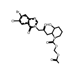 CC(=O)OCOC(=O)N1CCCC(O)C1CC(=O)Cn1cnc2cc(Br)c(Cl)cc2c1=O